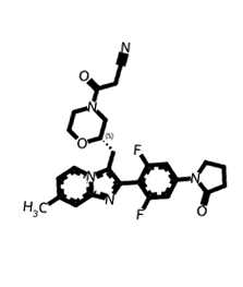 Cc1ccn2c(C[C@H]3CN(C(=O)CC#N)CCO3)c(-c3c(F)cc(N4CCCC4=O)cc3F)nc2c1